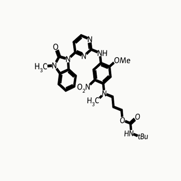 COc1cc(N(C)CCCOC(=O)NC(C)(C)C)c([N+](=O)[O-])cc1Nc1nccc(-n2c(=O)n(C)c3ccccc32)n1